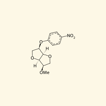 CO[C@@H]1CO[C@H]2[C@@H]1OC[C@H]2Oc1ccc([N+](=O)[O-])cc1